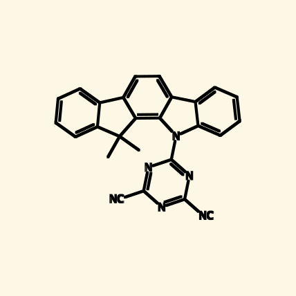 [C-]#[N+]c1nc(C#N)nc(-n2c3ccccc3c3ccc4c(c32)C(C)(C)c2ccccc2-4)n1